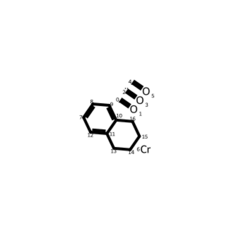 [C]=O.[C]=O.[C]=O.[Cr].c1ccc2c(c1)CCCC2